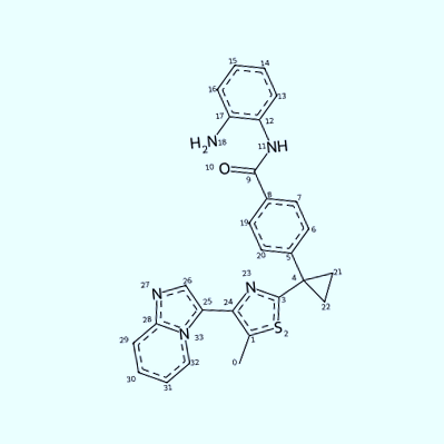 Cc1sc(C2(c3ccc(C(=O)Nc4ccccc4N)cc3)CC2)nc1-c1cnc2ccccn12